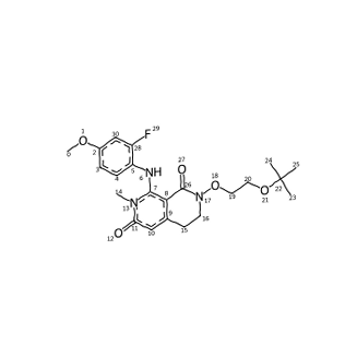 COc1ccc(Nc2c3c(cc(=O)n2C)CCN(OCCOC(C)(C)C)C3=O)c(F)c1